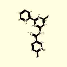 Cc1ccc(C(=O)Nc2nc(C)nc(-c3ccccn3)n2)cn1